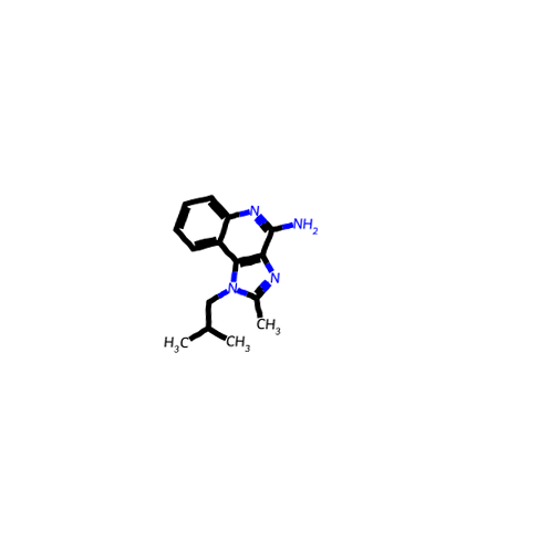 Cc1nc2c(N)nc3ccccc3c2n1CC(C)C